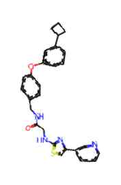 O=C(CNc1nc(-c2cccnc2)cs1)NCc1ccc(Oc2cccc(C3CCC3)c2)cc1